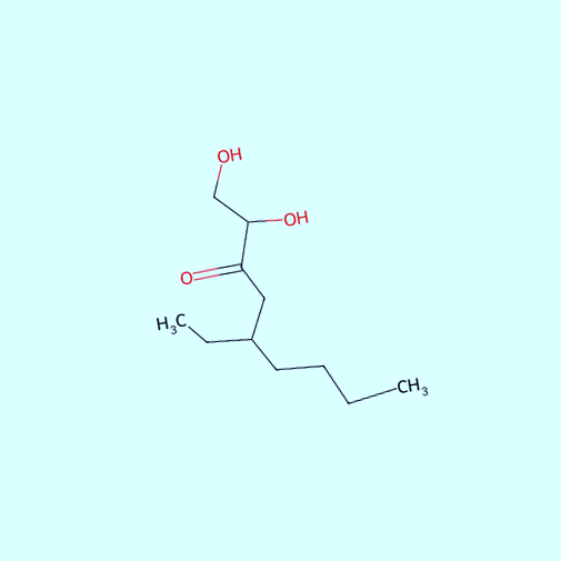 CCCCC(CC)CC(=O)C(O)CO